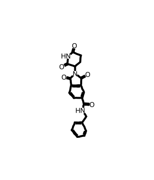 O=C1CCC(N2C(=O)c3ccc(C(=O)NCc4ccccc4)cc3C2=O)C(=O)N1